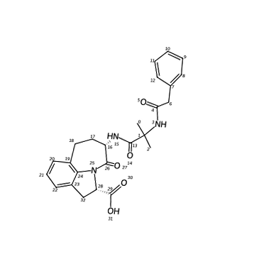 CC(C)(NC(=O)Cc1ccccc1)C(=O)N[C@H]1CCc2cccc3c2N(C1=O)[C@H](C(=O)O)C3